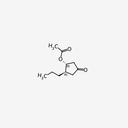 CCC[C@@H]1CC(=O)C[C@H]1OC(C)=O